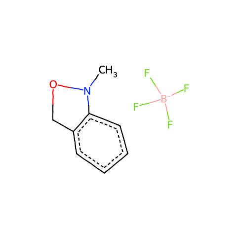 CN1OCc2ccccc21.F[B-](F)(F)F